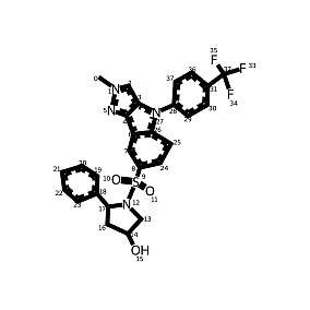 Cn1cc2c(n1)c1cc(S(=O)(=O)N3CC(O)CC3c3ccccc3)ccc1n2-c1ccc(C(F)(F)F)cc1